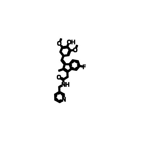 COC1=CC(/C=C2/C(C)=C(CC(=O)NCc3cccnc3)c3cc(F)ccc32)CC(OC)=C1O